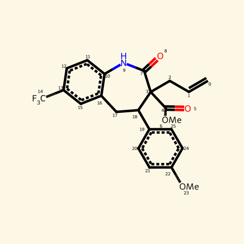 C=CCC1(C(=O)OC)C(=O)Nc2ccc(C(F)(F)F)cc2CC1c1ccc(OC)cc1